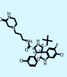 CC(C)(C)C[C@H]1N[C@@H](C(=O)NCCCN2CCNC(=O)C2)[C@H](c2cccc(Cl)c2)[C@@]12C(=O)Nc1cc(Cl)c(F)cc12